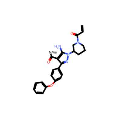 C=CC(=O)N1CCCC(n2nc(-c3ccc(Oc4ccccc4)cc3)c(C(=O)NC)c2N)C1